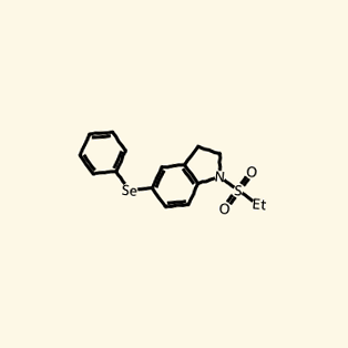 CCS(=O)(=O)N1CCc2cc([Se]c3ccccc3)ccc21